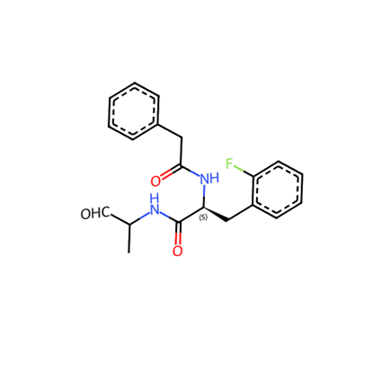 CC(C=O)NC(=O)[C@H](Cc1ccccc1F)NC(=O)Cc1ccccc1